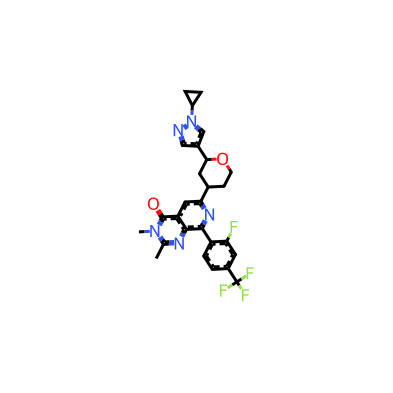 Cc1nc2c(-c3ccc(C(F)(F)F)cc3F)nc(C3CCOC(c4cnn(C5CC5)c4)C3)cc2c(=O)n1C